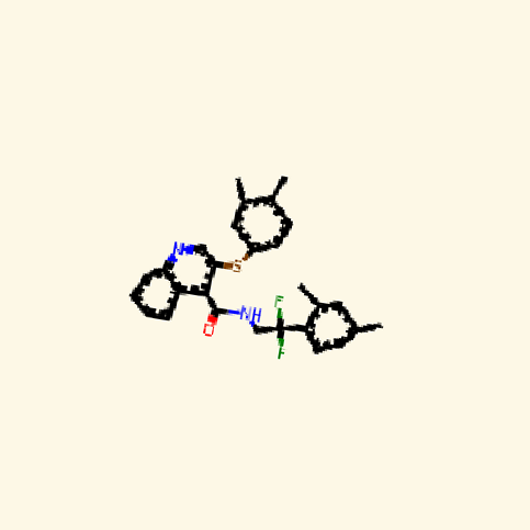 Cc1ccc(C(F)(F)CNC(=O)c2c(Sc3ccc(C)c(C)c3)cnc3ccccc23)c(C)c1